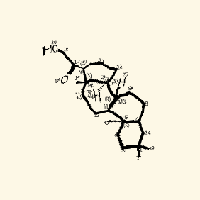 CC1(C)CC[C@@]2(C)C(CC[C@@H]3C2CC[C@]2(C)[C@@H](C(=O)CO)CC[C@@H]32)C1